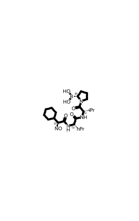 CCC[C@H](NC(=O)[C@@H](N=O)C1CCCCC1)C(=O)N[C@H](C(=O)N1CCC[C@H]1B(O)O)C(C)C